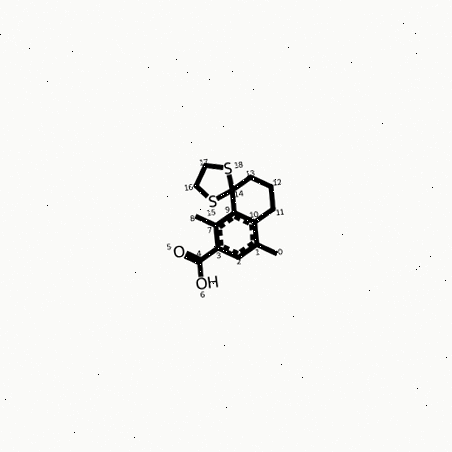 Cc1cc(C(=O)O)c(C)c2c1CCCC21SCCS1